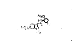 COc1ccc(Cl)cc1NC(=O)Cn1nc(C(F)(F)F)c2c1CCN(C(=O)O)C2